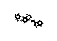 C1=CCC2C(CCN3CCOc4cc(Nc5ccncc5)ccc43)=CSC2=C1